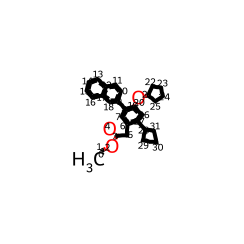 CCOC(=O)Cc1cc(-c2ccc3ccccc3c2)c(OC2CCCC2)cc1C1CCC1